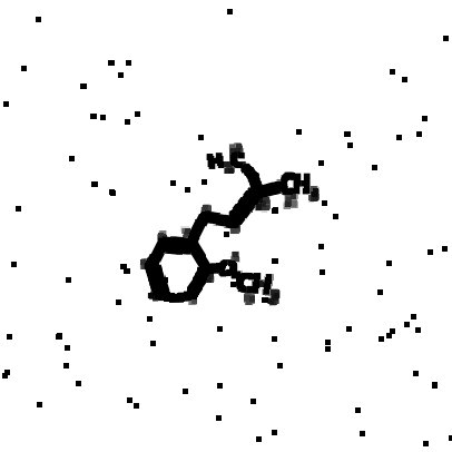 COc1ccccc1CC=C(C)C